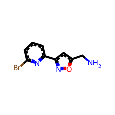 NCc1cc(-c2cccc(Br)n2)no1